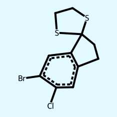 Clc1cc2c(cc1Br)C1(CC2)SCCS1